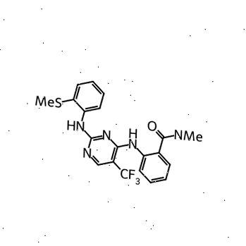 CNC(=O)c1ccccc1Nc1nc(Nc2ccccc2SC)ncc1C(F)(F)F